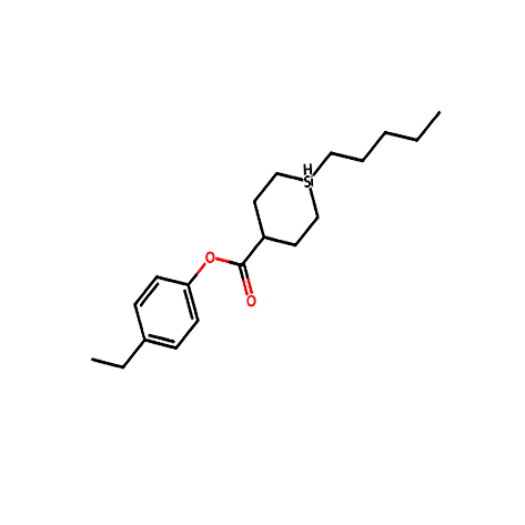 CCCCC[SiH]1CCC(C(=O)Oc2ccc(CC)cc2)CC1